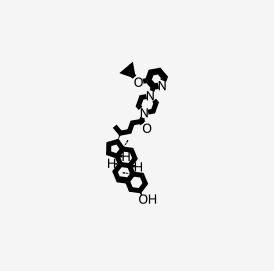 CC(CCC(=O)N1CCN(c2ncccc2OC2CC2)CC1)[C@H]1CC[C@H]2[C@@H]3CC=C4C[C@@H](O)CC[C@]4(C)[C@H]3CC[C@]12C